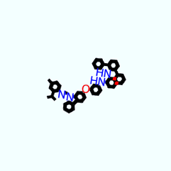 Cc1ccc(/N=C/n2c3ccccc3c3ccc(Oc4cccc(Nc5ccccc5Nc5c(-c6ccccc6)cccc5-c5ccccc5)c4)cc32)c(C(C)C)c1